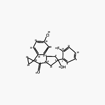 O=C(N1CCC(O)(c2ccccc2F)C1)C1(c2ccc(Cl)cc2)CC1